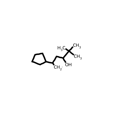 [CH2]C(CC(O)C(C)(C)C)C1CCCC1